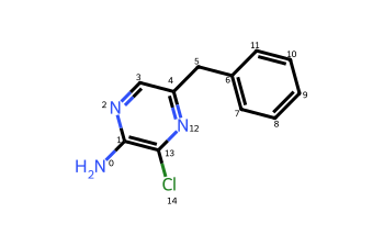 Nc1ncc(Cc2ccccc2)nc1Cl